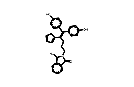 O=C1c2ccccc2C(O)N1CCCC(C1=CC=CC1)=C(c1ccc(O)cc1)c1ccc(O)cc1